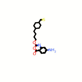 Nc1ccc2c(=O)oc(OCCCCC3CCC(C=S)CC3)nc2c1